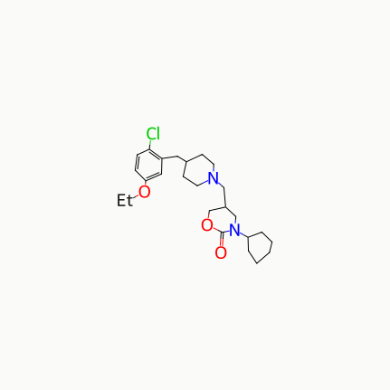 CCOc1ccc(Cl)c(CC2CCN(CC3COC(=O)N(C4CCCCC4)C3)CC2)c1